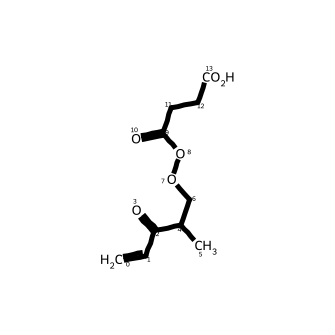 C=CC(=O)C(C)COOC(=O)CCC(=O)O